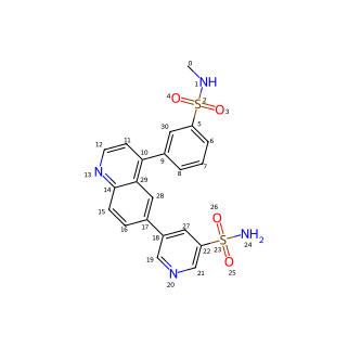 CNS(=O)(=O)c1cccc(-c2ccnc3ccc(-c4cncc(S(N)(=O)=O)c4)cc23)c1